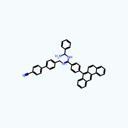 N#Cc1ccc(-c2ccc(C/N=C(\NC(N)c3ccccc3)c3ccc(-c4c5ccccc5cc5c4ccc4ccccc45)cc3)cc2)cc1